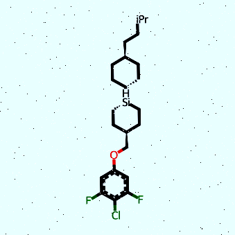 CC(C)CC[C@H]1CC[C@H]([Si@H]2CC[C@H](COc3cc(F)c(Cl)c(F)c3)CC2)CC1